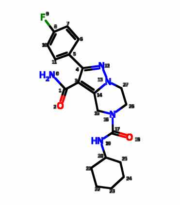 NC(=O)c1c(-c2ccc(F)cc2)nn2c1CN(C(=O)NC1CCCCC1)CC2